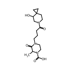 CC1C(=O)N(CCCC(=O)N2CCC3(CC3)C(O)C2)CCN1C(=O)O